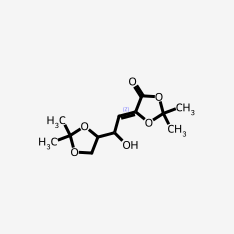 CC1(C)OC(=O)/C(=C/C(O)C2COC(C)(C)O2)O1